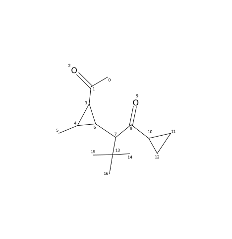 CC(=O)C1C(C)C1C(C(=O)C1CC1)C(C)(C)C